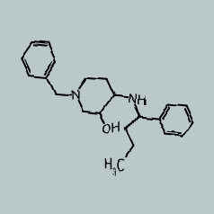 CCCC(NC1CCN(Cc2ccccc2)CC1O)c1ccccc1